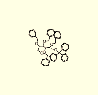 OC[C@@H](OCc1ccccc1)[C@@H](OCc1ccccc1)C(OCc1ccccc1)[C@@H](COC(c1ccccc1)(c1ccccc1)c1ccccc1)OCc1ccccc1